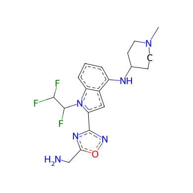 CN1CCC(Nc2cccc3c2cc(-c2noc(CN)n2)n3C(F)C(F)F)CC1